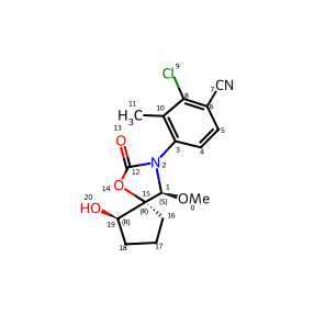 CO[C@@H]1N(c2ccc(C#N)c(Cl)c2C)C(=O)O[C@@]12CCC[C@H]2O